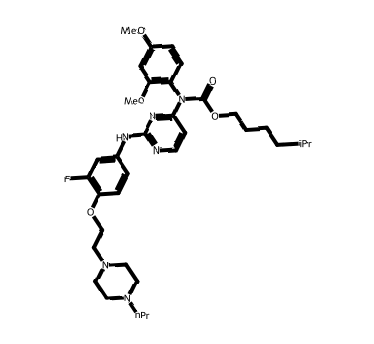 CCCN1CCN(CCOc2ccc(Nc3nccc(N(C(=O)OCCCCC(C)C)c4ccc(OC)cc4OC)n3)cc2F)CC1